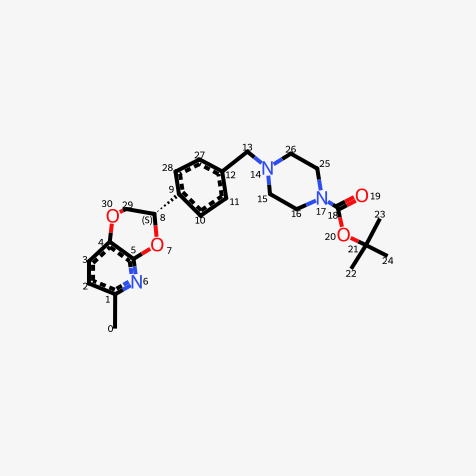 Cc1ccc2c(n1)O[C@@H](c1ccc(CN3CCN(C(=O)OC(C)(C)C)CC3)cc1)CO2